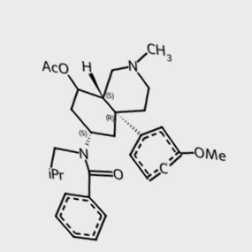 COc1cccc([C@@]23CCN(C)C[C@H]2C(OC(C)=O)C[C@@H](N(CC(C)C)C(=O)c2ccccc2)C3)c1